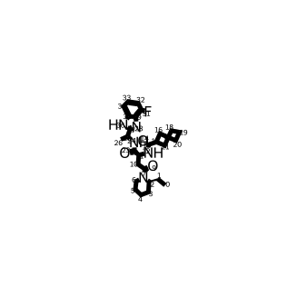 CC[C@H]1CCCCN1C(=O)CC(NC(=O)C1CC2(CCC2)C1)C(=O)NC(C)c1nc2c(F)cccc2[nH]1